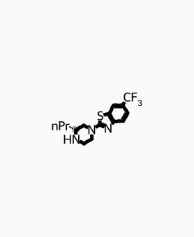 CCC[C@@H]1CN(c2nc3ccc(C(F)(F)F)cc3s2)CCN1